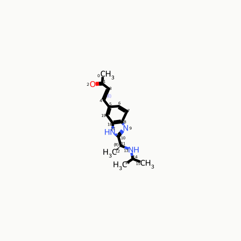 CC(=O)/C=C/c1ccc2nc([C@@H](C)NC(C)C)[nH]c2c1